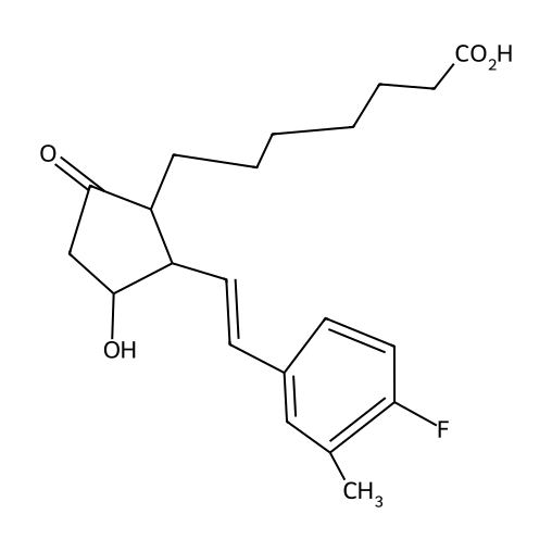 Cc1cc(/C=C/C2C(O)CC(=O)C2CCCCCCC(=O)O)ccc1F